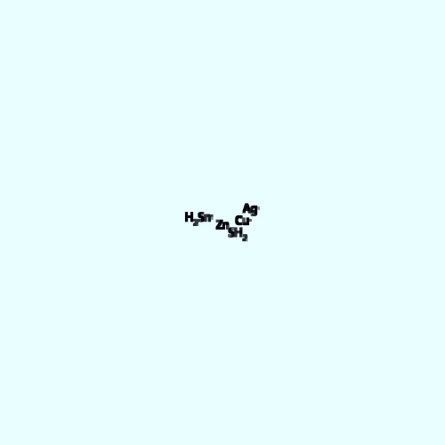 S.[Ag].[Cu].[SnH2].[Zn]